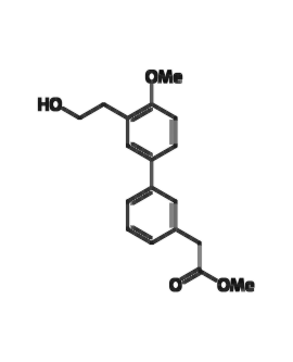 COC(=O)Cc1cccc(-c2ccc(OC)c(CCO)c2)c1